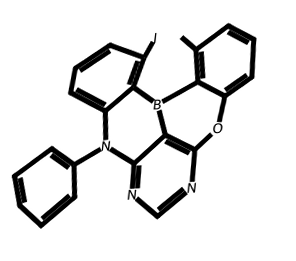 Cc1cccc2c1B1c3c(I)cccc3N(c3ccccc3)c3ncnc(c31)O2